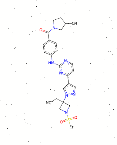 CCS(=O)(=O)N1CC(CC#N)(n2cc(-c3ccnc(Nc4ccc(C(=O)N5CCC(C#N)C5)cc4)n3)cn2)C1